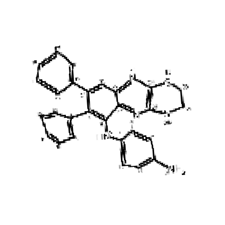 Nc1ccc(Nc2c(-c3ccccc3)c(-c3ccccc3)cc3nc4c(nc23)SCCS4)cc1